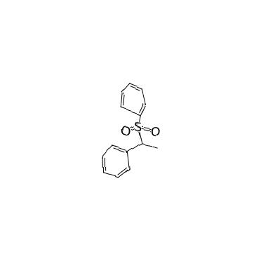 CC(c1ccccc1)S(=O)(=O)c1ccccc1